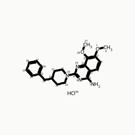 COc1ccc2c(N)nc(N3CCC(Cc4ccccc4)CC3)nc2c1OC.Cl